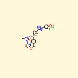 C=CCN(CCc1ccc(-c2ncn(-c3ccc(OC(F)(F)F)cc3)n2)cc1)C(=O)/N=C1/SCC(=O)N1c1cc(C)ccc1C(C)C